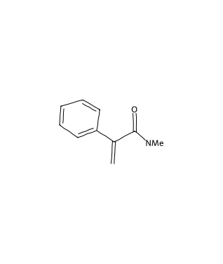 C=C(C(=O)NC)c1ccccc1